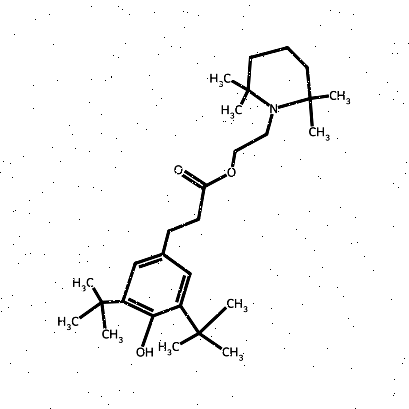 CC(C)(C)c1cc(CCC(=O)OCCN2C(C)(C)CCCC2(C)C)cc(C(C)(C)C)c1O